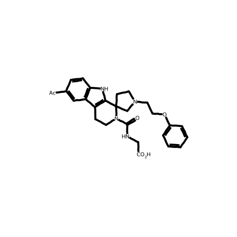 CC(=O)c1ccc2[nH]c3c(c2c1)CCN(C(=O)NCC(=O)O)C31CCN(CCOc2ccccc2)C1